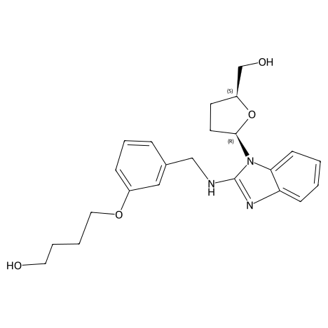 OCCCCOc1cccc(CNc2nc3ccccc3n2[C@H]2CC[C@@H](CO)O2)c1